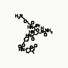 Cc1cc(=O)oc2cc(NC(=O)OCc3ccc(NC(=O)C(CCCNC(N)=O)NC(=O)C(NC(=O)CCOCCN)C(C)C)cc3)ccc12